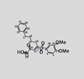 COc1ccc(S(=O)(=O)/C(=C/C(=O)NO)CCCCc2ccccc2)cc1OC